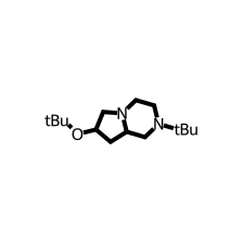 CC(C)(C)OC1CC2CN(C(C)(C)C)CCN2C1